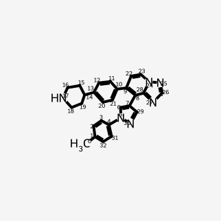 Cc1ccc(-n2cc(-c3c(-c4ccc(C5CCNCC5)cc4)ccn4n[c]nc34)cn2)cc1